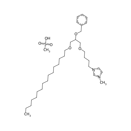 CCCCCCCCCCCCCCCCOCC(COCCCC[n+]1ccn(C)c1)OCc1ccccc1.CS(=O)(=O)O